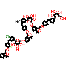 CC1(C)OC(COc2ccc(Cc3cc([C@@H]4O[C@H](COc5ccc6c(c5)C(COc5ccc(Cc7cccc([C@@H]8O[C@H](CO)[C@@H](O)[C@H](O)[C@H]8O)c7)cc5)OC6(C)C)[C@@H](O)[C@H](O)[C@H]4O)ccc3C#N)cc2)c2cc(OC[C@H]3O[C@@H](c4ccc(Cl)c(Cc5ccc(OCC6OC(C)(C)c7ccccc76)c(F)c5)c4)[C@H](O)[C@@H](O)[C@@H]3O)ccc21